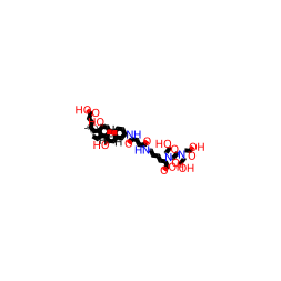 C[C@H](CCC(=O)O)[C@H]1CC[C@H]2[C@@H]3[C@H](O)C[C@@H]4C[C@@H](NC(=O)CCC(=O)NCCCCC(C(=O)O)N(CCN(CC(=O)O)CC(=O)O)CC(=O)O)CC[C@]4(C)[C@H]3C[C@H](O)[C@]12C